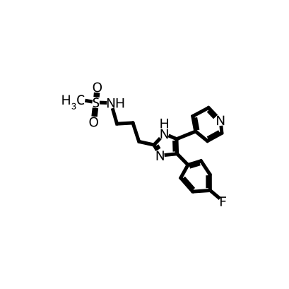 CS(=O)(=O)NCCCc1nc(-c2ccc(F)cc2)c(-c2ccncc2)[nH]1